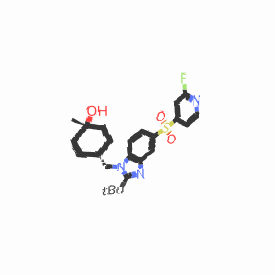 CC(C)(C)c1nc2cc(S(=O)(=O)c3ccnc(F)c3)ccc2n1C[C@H]1CC[C@@](C)(O)CC1